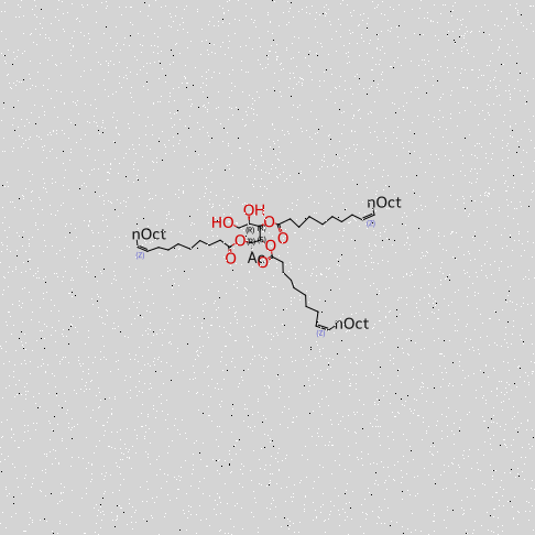 CCCCCCCC/C=C\CCCCCCCC(=O)O[C@@H]([C@H](OC(=O)CCCCCCC/C=C\CCCCCCCC)[C@@H](OC(=O)CCCCCCC/C=C\CCCCCCCC)C(C)=O)[C@H](O)CO